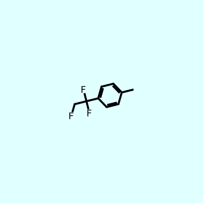 Cc1ccc(C(F)(F)CF)cc1